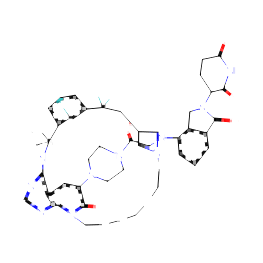 C[C@H]1Nc2ncnc3c2cc(N2CCN(C(=O)CNc4cccc5c4CN(C4CCC(=O)NC4=O)C5=O)CC2)c(=O)n3CCCCCCCN2CC(C2)CC(F)(F)c2cccc1c2F